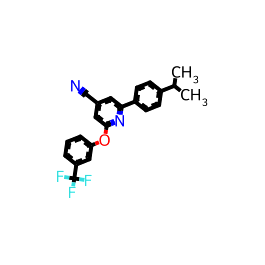 CC(C)c1ccc(-c2cc(C#N)cc(Oc3cccc(C(F)(F)F)c3)n2)cc1